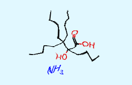 CCCCC(CCCC)(CCCC)C(O)(CCCC)C(=O)O.N